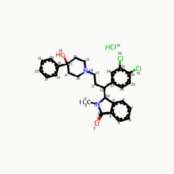 CN1C(=O)c2ccccc2C1C(CCN1CCC(O)(c2ccccc2)CC1)c1ccc(Cl)c(Cl)c1.Cl